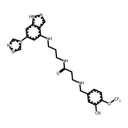 N#Cc1cc(CNCCC(=O)NCCCNc2cc(-n3cnnc3)cc3[nH]ncc23)ccc1OC(F)(F)F